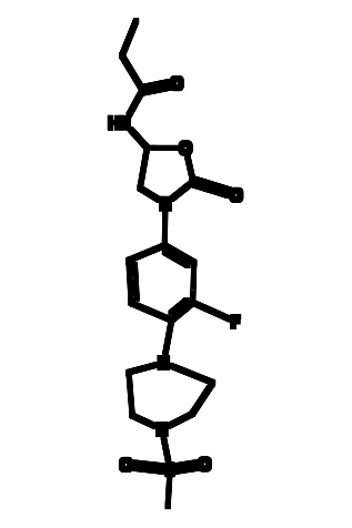 CCC(=O)NC1CN(c2ccc(N3CCN(S(C)(=O)=O)CC3)c(F)c2)C(=O)O1